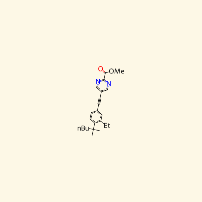 CCCCC(C)(C)c1ccc(C#Cc2cnc(C(=O)OC)nc2)cc1CC